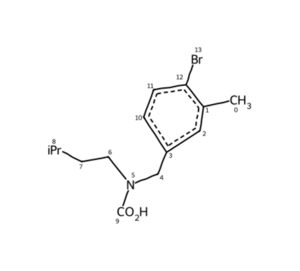 Cc1cc(CN(CCC(C)C)C(=O)O)ccc1Br